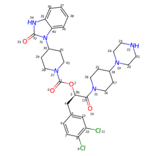 O=C(O[C@H](Cc1ccc(Cl)c(Cl)c1)C(=O)N1CCC(N2CCNCC2)CC1)N1CCC(n2c(=O)[nH]c3ccccc32)CC1